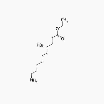 Br.CCOC(=O)CCCCCCCCCN